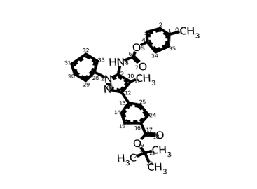 Cc1ccc(OC(=O)Nc2c(C)c(-c3ccc(C(=O)OC(C)(C)C)cc3)nn2-c2ccccc2)cc1